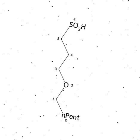 CCCCCCOCCCS(=O)(=O)O